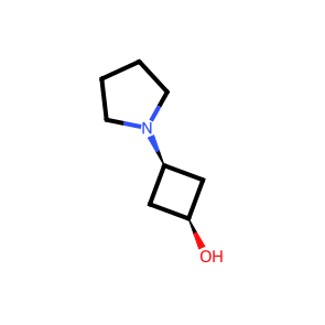 O[C@H]1C[C@@H](N2CCCC2)C1